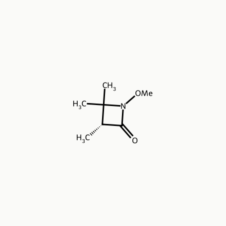 CON1C(=O)[C@H](C)C1(C)C